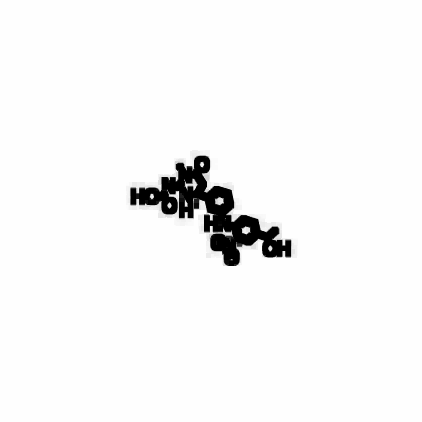 CC(O)c1ccc(Nc2cccc([C@]3(C)CC(=O)N(C)/C(=N/C(=O)O)N3)c2)c([N+](=O)[O-])c1